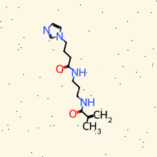 C=C(C)C(=O)NCCCNC(=O)CCCn1ccnc1